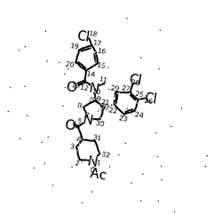 CC(=O)N1CCC(C(=O)N2C[C@@H](N(C)C(=O)c3ccc(Cl)cc3)[C@H](c3ccc(Cl)c(Cl)c3)C2)CC1